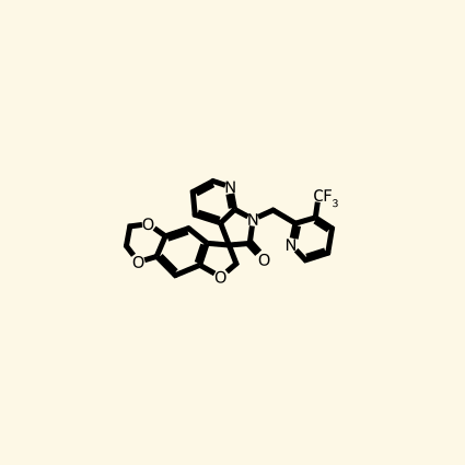 O=C1N(Cc2ncccc2C(F)(F)F)c2ncccc2C12COc1cc3c(cc12)OCCO3